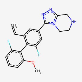 C=Cc1cc(-c2nnc3n2CCNC3)cc(F)c1-c1c(F)cccc1OC